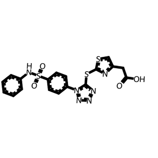 O=C(O)Cc1csc(Sc2nnnn2-c2ccc(S(=O)(=O)Nc3ccccc3)cc2)n1